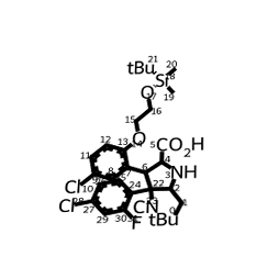 CC(C)(C)CC1NC(C(=O)O)C(c2cc(Cl)ccc2OCCO[Si](C)(C)C(C)(C)C)C1(C#N)c1ccc(Cl)cc1F